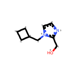 OCc1nccn1CC1CCC1